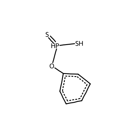 S=[PH](S)Oc1ccccc1